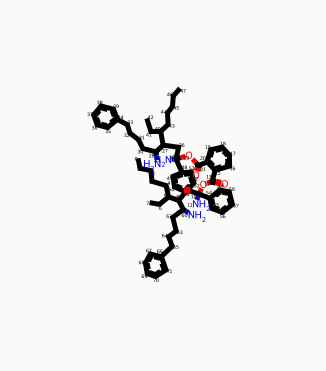 CCCCCC(CC)C(CC(N)(OC(=O)c1ccccc1C(=O)OC(N)(CC(C(N)CCCCc1ccccc1)C(CC)CCCCC)c1ccccc1)c1ccccc1)C(N)CCCCc1ccccc1